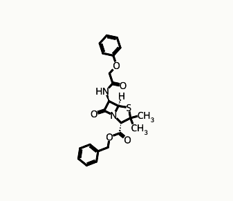 CC1(C)S[C@@H]2[C@H](NC(=O)COc3ccccc3)C(=O)N2[C@H]1C(=O)OCc1ccccc1